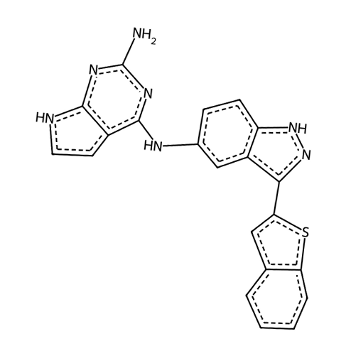 Nc1nc(Nc2ccc3[nH]nc(-c4cc5ccccc5s4)c3c2)c2cc[nH]c2n1